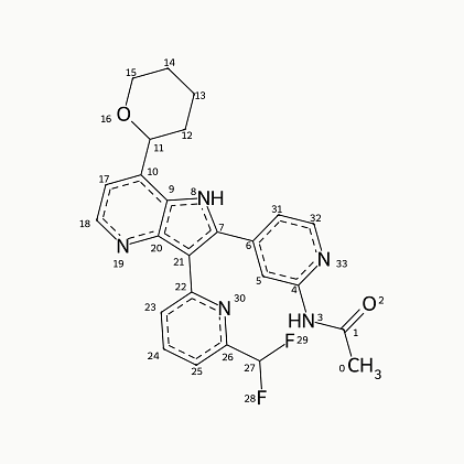 CC(=O)Nc1cc(-c2[nH]c3c(C4CCCCO4)ccnc3c2-c2cccc(C(F)F)n2)ccn1